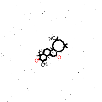 CC1(C)CCC2C(=O)C=C3[C@@]4(C)C=C(C#N)C(=O)C(C)(C)[C@@H]4CC[C@@]3(C)[C@]2(C)CC[C@@](C)(C#N)CC1